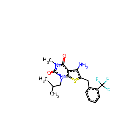 CC(C)Cn1c(=O)n(C)c(=O)c2c(N)c(Cc3ccccc3C(F)(F)F)sc21